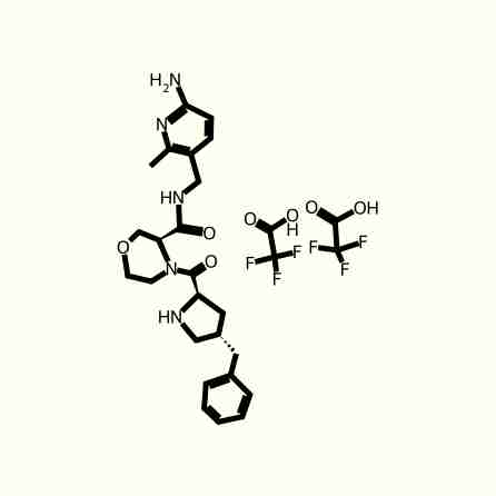 Cc1nc(N)ccc1CNC(=O)[C@@H]1COCCN1C(=O)[C@H]1C[C@H](Cc2ccccc2)CN1.O=C(O)C(F)(F)F.O=C(O)C(F)(F)F